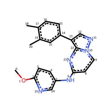 COc1ccc(Nc2ccn3ncc(-c4ccc(C)c(C)c4)c3n2)cn1